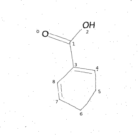 O=C(O)C1=[C]CCC=C1